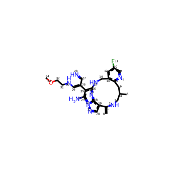 C=C1NCC(C)Cc2ncc(F)cc2CNc2nc3c1cnn3c(N)c2/C(C=N)=C/NCCOC